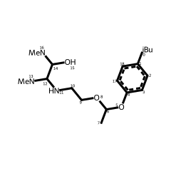 CCC(C)c1ccc(OC(C)OCCNC(NC)C(O)NC)cc1